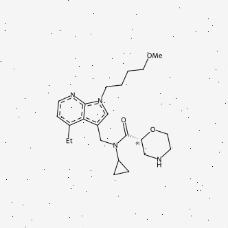 CCc1ccnc2c1c(CN(C(=O)[C@H]1CNCCO1)C1CC1)cn2CCCCOC